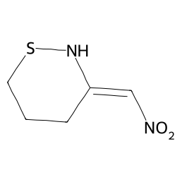 O=[N+]([O-])C=C1CCCSN1